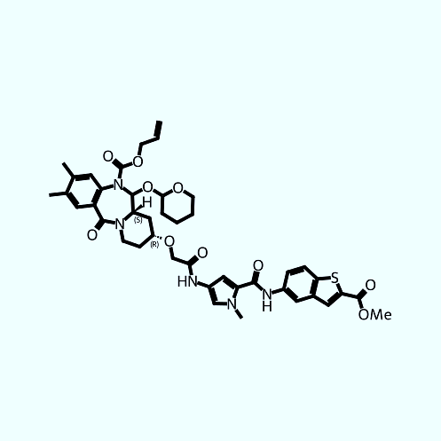 C=CCOC(=O)N1c2cc(C)c(C)cc2C(=O)N2CC[C@@H](OCC(=O)Nc3cc(C(=O)Nc4ccc5sc(C(=O)OC)cc5c4)n(C)c3)C[C@H]2C1OC1CCCCO1